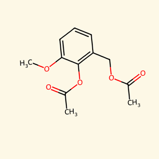 COc1cccc(COC(C)=O)c1OC(C)=O